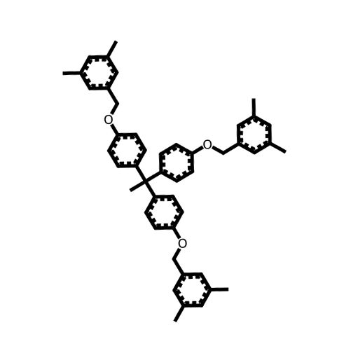 Cc1cc(C)cc(COc2ccc(C(C)(c3ccc(OCc4cc(C)cc(C)c4)cc3)c3ccc(OCc4cc(C)cc(C)c4)cc3)cc2)c1